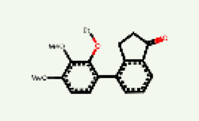 [CH2]COc1c(-c2cccc3c2CCC3=O)ccc(OC)c1OC